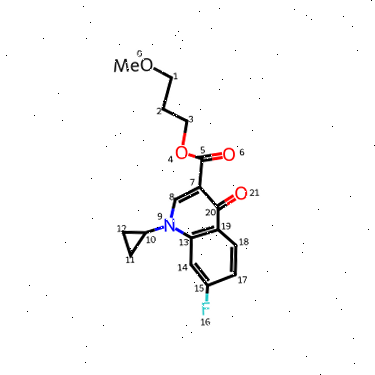 COCCCOC(=O)c1cn(C2CC2)c2cc(F)ccc2c1=O